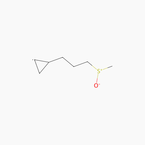 C[S+]([O-])CCCC1[CH]C1